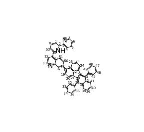 C1=CC(c2ccccn2)NC(c2ccnc3cc(-c4ccc5c6c(cccc46)-c4c-5c(-c5ccccc5)c5ccccc5c4-c4ccccc4)ccc23)=C1